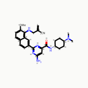 C=C(C#N)CNc1c(OC)ccc2ccc(-c3nc(N)cc(C(=O)N[C@H]4CC[C@H](N(C)C)CC4)n3)cc12